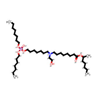 CCCCCCCCOP(=O)(OCCCCCCC)OCCCCCCCN(CCO)CCCCCCCC(=O)OC(C)CCCCC